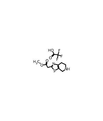 COC(=O)Cc1nc2c(s1)CNCC2.O=C(O)C(F)(F)F